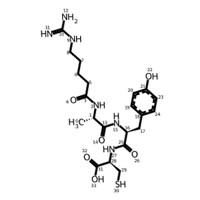 C[C@H](NC(=O)CCCCNC(=N)N)C(=O)N[C@@H](Cc1ccc(O)cc1)C(=O)N[C@@H](CS)C(=O)O